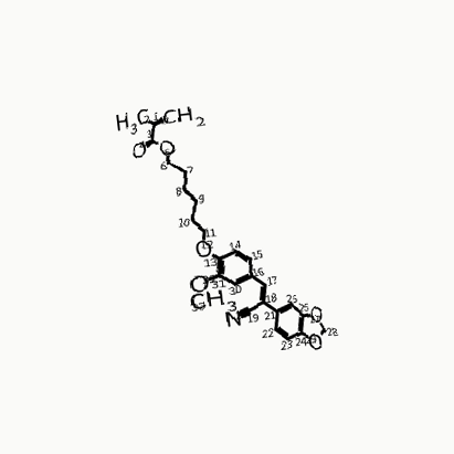 C=C(C)C(=O)OCCCCCCOc1ccc(C=C(C#N)c2ccc3c(c2)OCO3)cc1OC